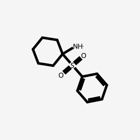 [NH]C1(S(=O)(=O)c2ccccc2)CCCCC1